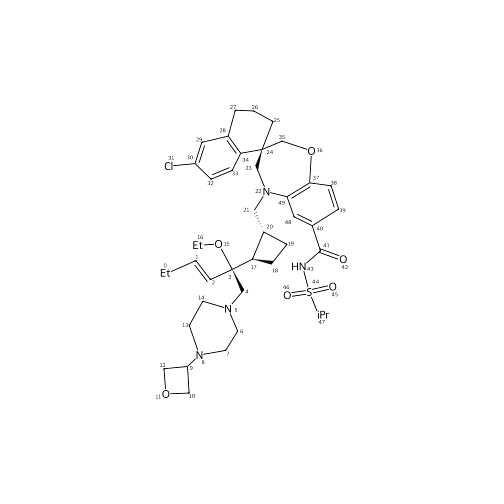 CC/C=C/[C@](CN1CCN(C2COC2)CC1)(OCC)[C@@H]1CC[C@H]1CN1C[C@@]2(CCCc3cc(Cl)ccc32)COc2ccc(C(=O)NS(=O)(=O)C(C)C)cc21